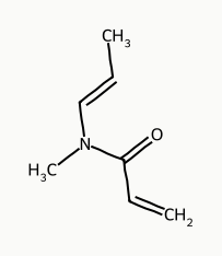 C=CC(=O)N(C)/C=C/C